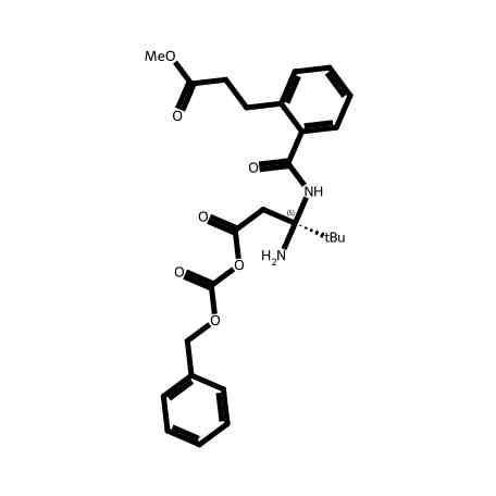 COC(=O)CCc1ccccc1C(=O)N[C@@](N)(CC(=O)OC(=O)OCc1ccccc1)C(C)(C)C